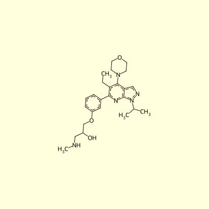 CCc1c(-c2cccc(OCC(O)CNC)c2)nc2c(cnn2C(C)C)c1N1CCOCC1